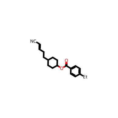 CCc1ccc(C(=O)OC2CCC(CCC=CC#N)CC2)cc1